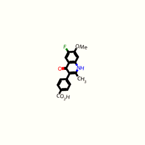 COc1cc2[nH]c(C)c(-c3ccc(C(=O)O)cc3)c(=O)c2cc1F